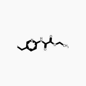 CCOC(=O)C(=O)Nc1ccc(CI)cn1